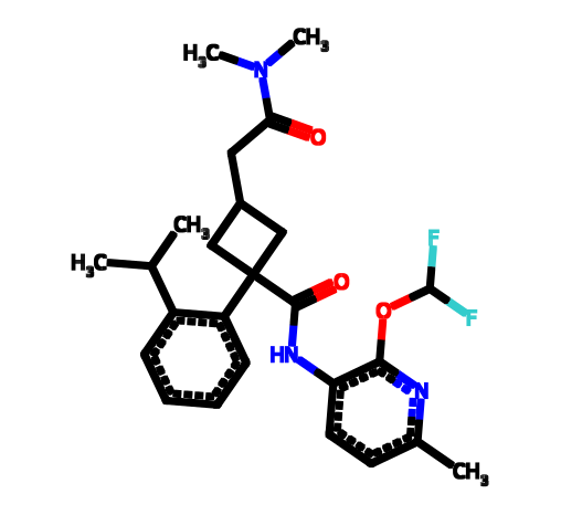 Cc1ccc(NC(=O)C2(c3ccccc3C(C)C)CC(CC(=O)N(C)C)C2)c(OC(F)F)n1